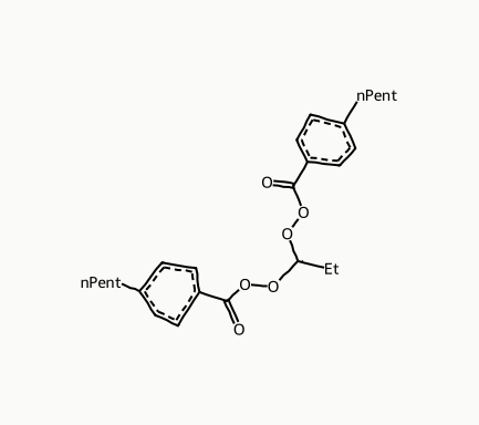 [CH2]C[C](OOC(=O)c1ccc(CCCCC)cc1)OOC(=O)c1ccc(CCCCC)cc1